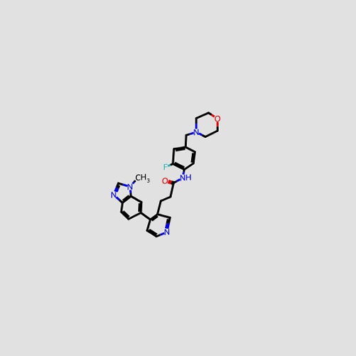 Cn1cnc2ccc(-c3ccncc3CCC(=O)Nc3ccc(CN4CCOCC4)cc3F)cc21